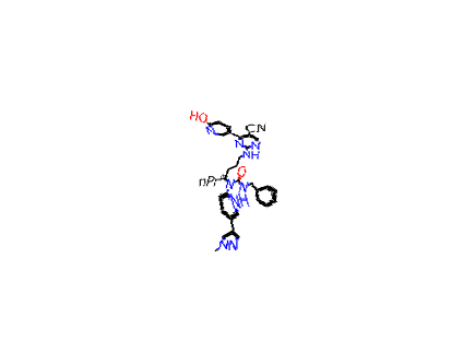 CCC[C@@H](CCCNc1ncc(C#N)c(-c2ccc(O)nc2)n1)N(C(=O)NCc1ccccc1)c1ccc(-c2cnn(C)c2)cn1